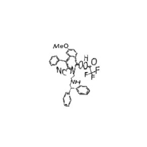 COc1ccc2c(=O)n(CCNCC(c3ccccc3)c3ccccc3)c(C#N)c(-c3ccccc3)c2c1.O=C(O)C(F)(F)F